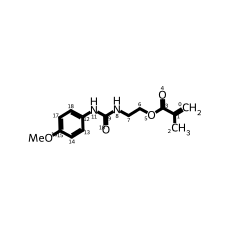 C=C(C)C(=O)OCCNC(=O)Nc1ccc(OC)cc1